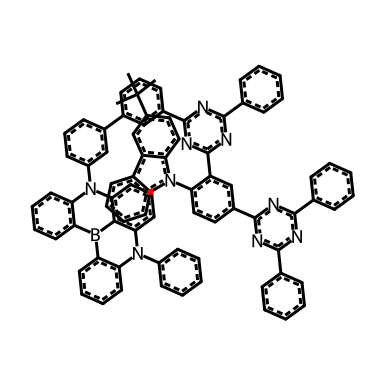 CC(C)(C)c1ccc2c(c1)c1ccccc1n2-c1ccc(-c2nc(-c3ccccc3)nc(-c3ccccc3)n2)cc1-c1nc(-c2ccccc2)nc(-c2cccc(-c3cccc(N4c5ccccc5B5c6ccccc6N(c6ccccc6)c6cccc4c65)c3)c2)n1